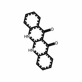 O=c1c2ccccc2[nH]c2[nH]c3ccccc3c(=O)c12